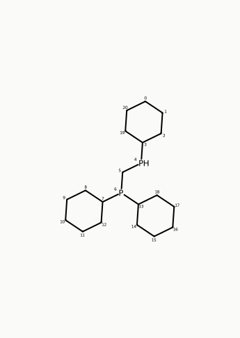 C1CCC(PCP(C2CCCCC2)C2CCCCC2)CC1